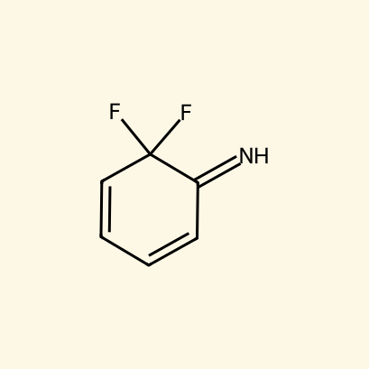 N=C1C=CC=CC1(F)F